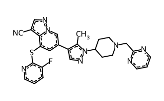 Cc1c(-c2cc(Sc3ncccc3F)c3c(C#N)cnn3c2)cnn1C1CCN(Cc2ncccn2)CC1